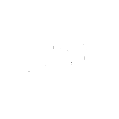 Cc1ccc(Cn2cc3c(N)nc(-c4ccsn4)nc3n2)cc1F